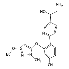 CCOc1cc(Oc2cc(C#N)ccc2-c2ccc(C(O)CN)cn2)n(C)n1